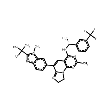 Cc1nc(N[C@H](C)c2cccc(C(F)(F)F)c2)c2c(n1)N1CCN=C1C(c1ccc3nc(C(C)(C)O)n(C)c3c1)=C2